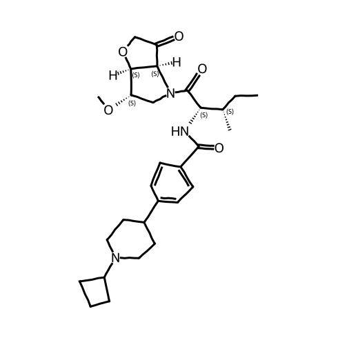 CC[C@H](C)[C@H](NC(=O)c1ccc(C2CCN(C3CCC3)CC2)cc1)C(=O)N1C[C@H](OC)[C@H]2OCC(=O)[C@H]21